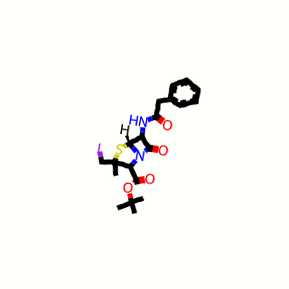 CC(C)(C)OC(=O)C1N2C(=O)C(NC(=O)Cc3ccccc3)[C@H]2SC1(C)CI